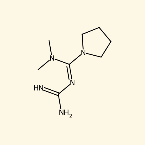 CN(C)C(=NC(=N)N)N1CCCC1